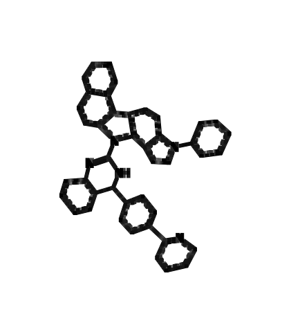 c1ccc(-n2ccc3c2ccc2c4c5ccccc5ccc4n(C4=Nc5ccccc5C(c5ccc(-c6ccccn6)cc5)N4)c23)cc1